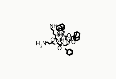 NCCCC[C@H](NC(=O)[C@@H](N)CCCN)C(=O)N[C@@H](Cc1ccccc1)CN(CC(=O)NCC12CC3CC(CC(C3)C1)C2)C(=O)CC12CC3CC(CC(C3)C1)C2